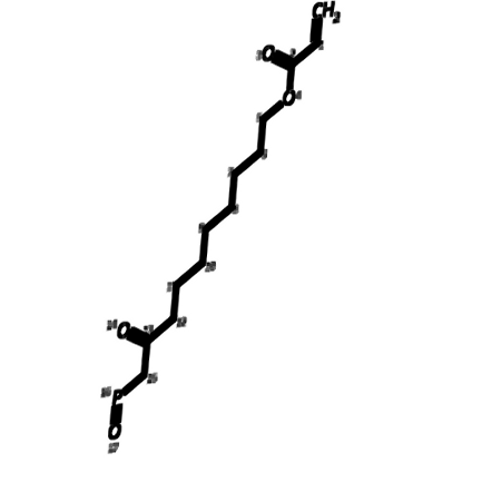 C=CC(=O)OCCCCCCCCC(=O)CP=O